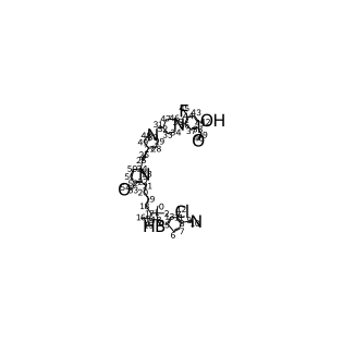 CC1(C)C(Bc2ccc(C#N)c(Cl)c2)C(C)(C)C1CCCCc1nc(C#CC2CCN(CC3CCN(c4cc(C=O)c(O)cc4F)CC3)CC2)ccc1C=O